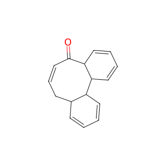 O=C1/C=C\CC2C=CC=CC2C2C=CC=CC12